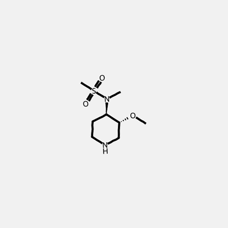 CO[C@@H]1CNCC[C@H]1N(C)S(C)(=O)=O